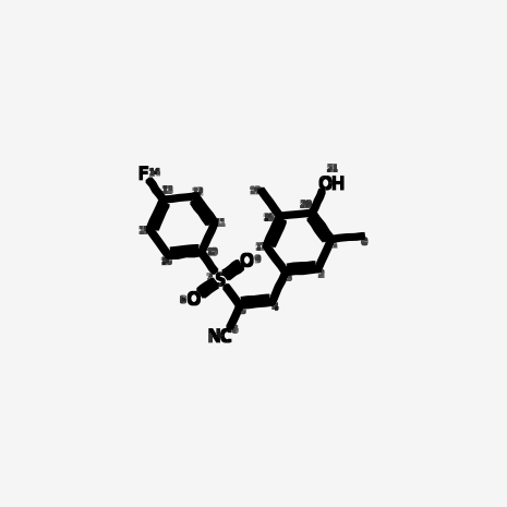 Cc1cc(C=C(C#N)S(=O)(=O)c2ccc(F)cc2)cc(C)c1O